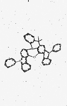 CC1(C)c2ccccc2B2c3ccc4c(c3Oc3c2c1cc1c3c2ccccc2n1-c1ccccc1)c1ccccc1n4-c1ccccc1